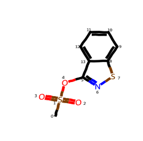 CS(=O)(=O)Oc1nsc2ccccc12